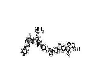 CCn1cc(C(=O)O)c(=O)c2cc(F)c(N3CCN(C(=O)OCc4ccc(NC[C@H](CSCCN)NC[C@@H](NC(=O)OCc5ccccc5)C(C)C)cc4)CC3)cc21